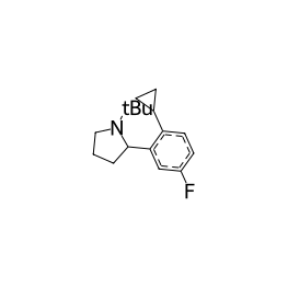 CC(C)(C)N1CCCC1c1cc(F)ccc1C1CC1